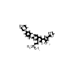 CC1N=C(c2nnco2)N=C1c1cc2cnc(Nc3ccc(N4CCNCC4)cc3)nc2n(CCN(C)C)c1=O